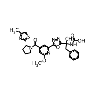 COc1cc(C(=O)N2CCC[C@@H]2c2nc(C)cs2)cc(-c2nnc([C@@](C)(Cc3ccccc3)NC(=O)O)o2)n1